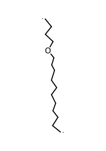 [CH2]CCCCCCCCCCOCCC[CH2]